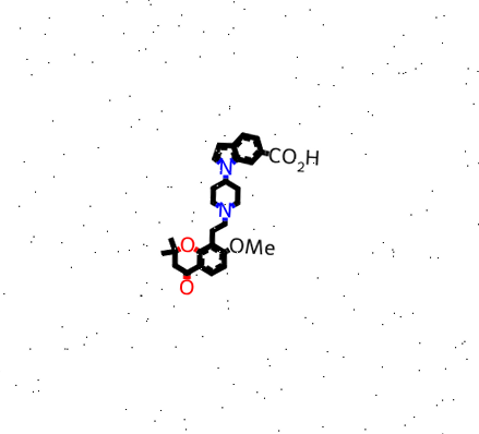 COc1ccc2c(c1CCN1CCC(n3ccc4ccc(C(=O)O)cc43)CC1)OC(C)(C)CC2=O